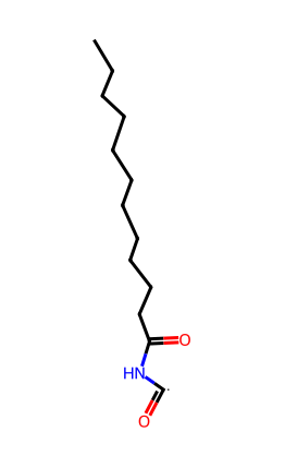 CCCCCCCCCCCC(=O)N[C]=O